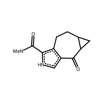 CNC(=O)c1[nH]cc2c1CCC1CC1C2=O